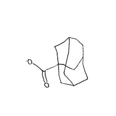 [O]C(=O)C12CC3CC(CC(C3)C1)C2